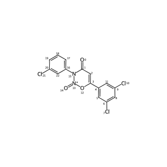 O=c1cc(-c2cc(Cl)cc(Cl)c2)o[n+](=O)n1-c1cccc(Cl)c1